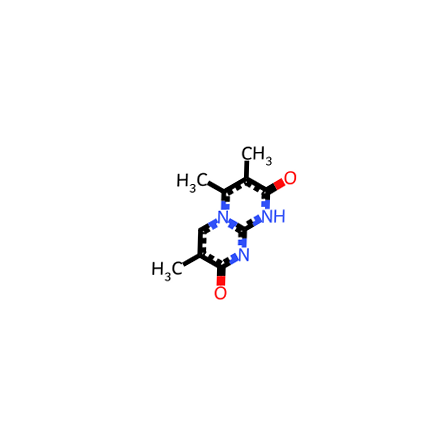 Cc1cn2c(C)c(C)c(=O)[nH]c2nc1=O